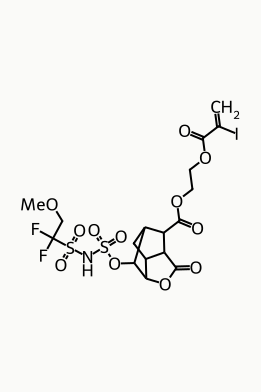 C=C(I)C(=O)OCCOC(=O)C1C2CC3C(OC(=O)C31)C2OS(=O)(=O)NS(=O)(=O)C(F)(F)COC